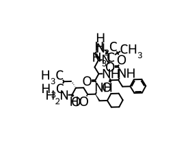 CC(C)C[C@H](C[C@H](O)[C@H](CC1CCCCC1)NC(=O)C(Cc1c[nH]cn1)NC(=O)C(Cc1ccccc1)NC(=O)OC(C)(C)C)C(N)=O